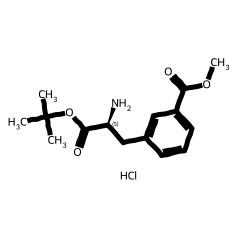 COC(=O)c1cccc(C[C@H](N)C(=O)OC(C)(C)C)c1.Cl